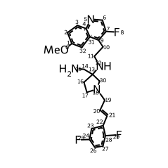 COc1ccc2ncc(F)c(CCNC3(CN)CCN(CC=Cc4cc(F)ccc4F)C3)c2c1